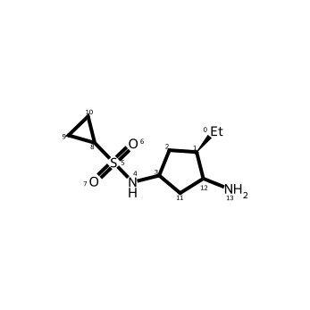 CC[C@@H]1CC(NS(=O)(=O)C2CC2)CC1N